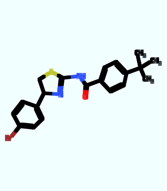 CC(C)(C)c1ccc(C(=O)NC2=NC(c3ccc(Br)cc3)CS2)cc1